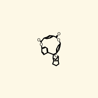 O=C1Oc2ccc(cc2)C2(CC3CC2C2CCCC32)c2ccc(cc2)OC(=O)c2ccc1cc2